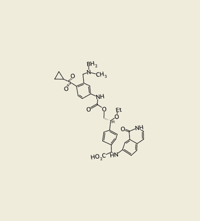 BN(C)Cc1cc(NC(=O)OC[C@H](OCC)c2ccc(C(Nc3ccc4cc[nH]c(=O)c4c3)C(=O)O)cc2)ccc1S(=O)(=O)C1CC1